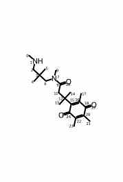 CNCC(C)(C)CN(C)C(=O)CC(C)(C)C1=C(C)C(=O)C(C)=C(C)C1=O